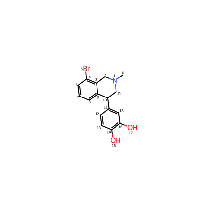 CN1Cc2c(Br)cccc2C(c2ccc(O)c(O)c2)C1